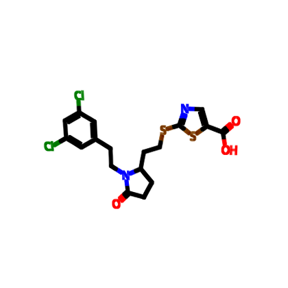 O=C(O)c1cnc(SCCC2CCC(=O)N2CCc2cc(Cl)cc(Cl)c2)s1